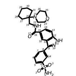 NS(=O)(=O)c1cccc(-c2n[nH]c3ccc(C(=O)NCC4(N5CCOCC5)CCCCC4)cc23)c1